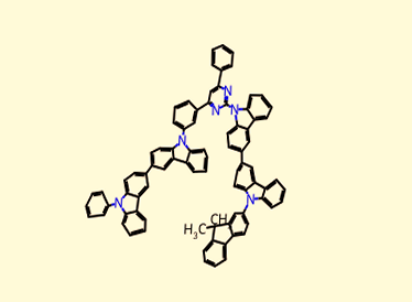 CC1(C)c2ccccc2-c2ccc(-n3c4ccccc4c4cc(-c5ccc6c(c5)c5ccccc5n6-c5nc(-c6ccccc6)cc(-c6cccc(-n7c8ccccc8c8cc(-c9ccc%10c(c9)c9ccccc9n%10-c9ccccc9)ccc87)c6)n5)ccc43)cc21